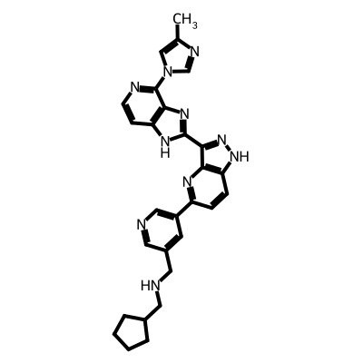 Cc1cn(-c2nccc3[nH]c(-c4n[nH]c5ccc(-c6cncc(CNCC7CCCC7)c6)nc45)nc23)cn1